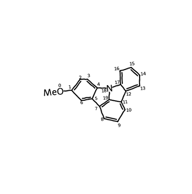 COc1ccc2c(c1)c1cccc3c4ccccc4n2c31